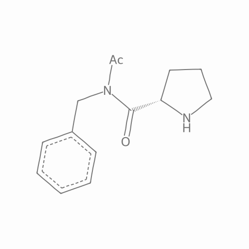 CC(=O)N(Cc1ccccc1)C(=O)[C@@H]1CCCN1